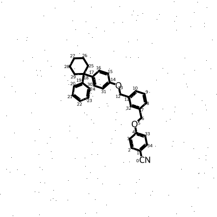 N#Cc1ccc(OCc2cccc(COc3ccc(C4(c5ccccc5)CCCCC4)cc3)c2)cc1